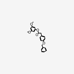 COc1cc(OC)cc(OC(=O)Cc2ccc(OCc3ccccc3)cc2)c1